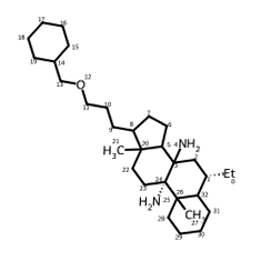 CC[C@H]1CC2(N)C3CCC(CCCOCC4CCCCC4)C3(C)CC[C@]2(N)C2(C)CCCCC12